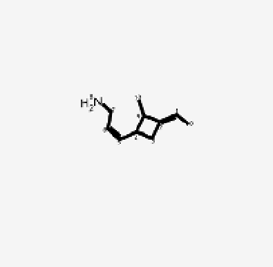 C/C=C1\CC(/C=C\CN)C1C